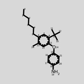 CCCCCCc1cc(C(C)(C)C)c(Oc2ccc(N)cc2)cc1C